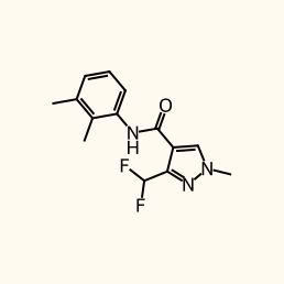 Cc1cccc(NC(=O)c2cn(C)nc2C(F)F)c1C